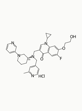 Cc1cc(CN(Cc2cn(C3CC3)c3cc(OCCO)c(F)cc3c2=O)[C@H]2CCCN(c3cccnc3)C2)ccn1.Cl